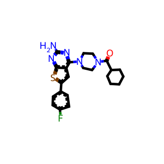 Nc1nc(N2CCN(C(=O)C3CCCCC3)CC2)c2cc(-c3ccc(F)cc3)sc2n1